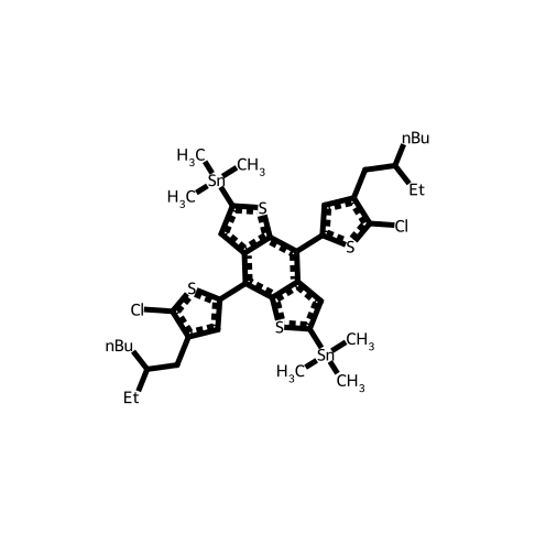 CCCCC(CC)Cc1cc(-c2c3c[c]([Sn]([CH3])([CH3])[CH3])sc3c(-c3cc(CC(CC)CCCC)c(Cl)s3)c3c[c]([Sn]([CH3])([CH3])[CH3])sc23)sc1Cl